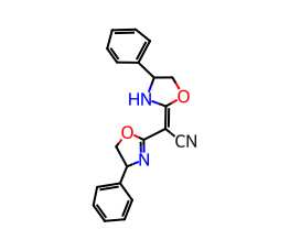 N#C/C(C1=NC(c2ccccc2)CO1)=C1/NC(c2ccccc2)CO1